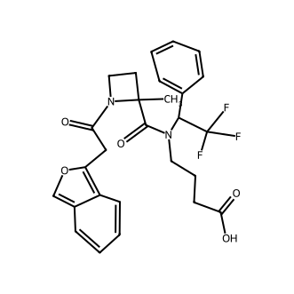 CC1(C(=O)N(CCCC(=O)O)C(c2ccccc2)C(F)(F)F)CCN1C(=O)Cc1occ2ccccc12